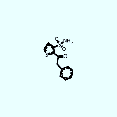 NS(=O)(=O)c1ccsc1C(=O)Cc1ccccc1